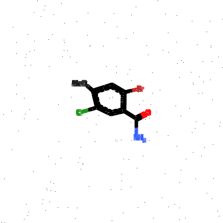 COc1cc(Br)c(C(N)=O)cc1Cl